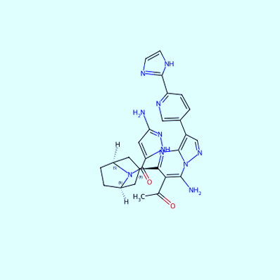 CC(=O)c1c([C@H]2C[C@H]3CC[C@@H](C2)N3C(=O)c2cc(N)n[nH]2)nc2c(-c3ccc(-c4ncc[nH]4)nc3)cnn2c1N